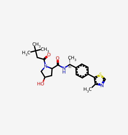 Cc1ncsc1-c1ccc([C@@H](C)NC(=O)C2CC(O)CN2C(=O)CC(C)(C)C)cc1